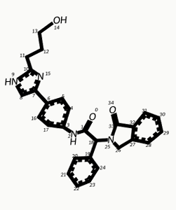 O=C(Nc1ccc(-c2c[nH]c(CCCO)n2)cc1)C(c1ccccc1)N1Cc2ccccc2C1=O